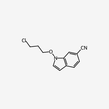 N#Cc1ccc2ccn(OCCCCl)c2c1